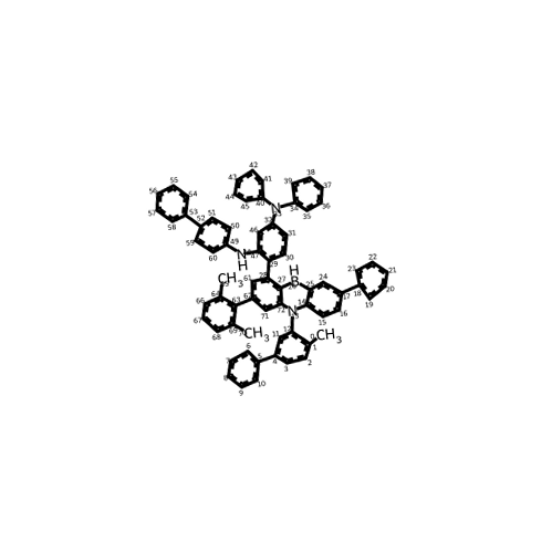 Cc1ccc(-c2ccccc2)cc1N1c2ccc(-c3ccccc3)cc2Bc2c(-c3ccc(N(c4ccccc4)c4ccccc4)cc3Nc3ccc(-c4ccccc4)cc3)cc(-c3c(C)cccc3C)cc21